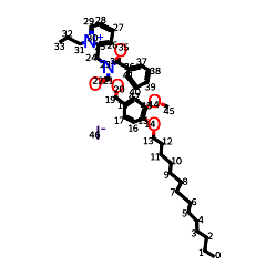 CCCCCCCCCCCCCCOc1ccc(COC(=O)N(Cc2cccc[n+]2CCC)C(=O)c2ccccc2)cc1OC.[I-]